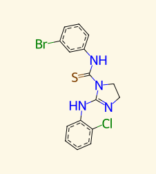 S=C(Nc1cccc(Br)c1)N1CCN=C1Nc1ccccc1Cl